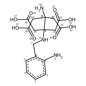 Nc1ccccc1CNC(CC(=O)O)(CC(=O)O)C(N)(CC(=O)O)CC(=O)O